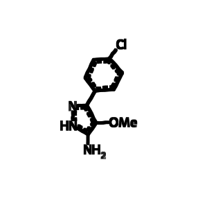 COc1c(-c2ccc(Cl)cc2)n[nH]c1N